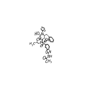 CC(=O)Nc1nc2ccc(S(=O)(=O)N(CC(C)C)CC(O)C(Cc3ccccc3)N(C(=O)O)c3cncs3)cc2o1